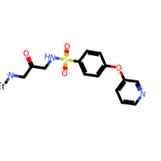 CC[N]CC(=O)CNS(=O)(=O)c1ccc(Oc2cccnc2)cc1